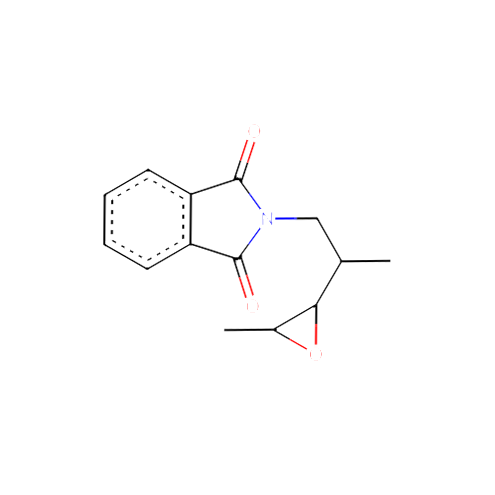 CC(CN1C(=O)c2ccccc2C1=O)C1OC1C